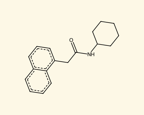 O=C(Cc1cccc2ccccc12)NC1CCCCC1